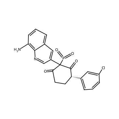 Nc1cccc2cc(C3(P(=O)=O)C(=O)CC[C@@H](c4cccc(Cl)c4)C3=O)cnc12